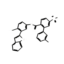 Cc1cccc(-c2cc(S(C)(=O)=O)ccc2C(=O)Nc2ccc(Cl)c(-c3cc4ccccc4[nH]3)c2)c1